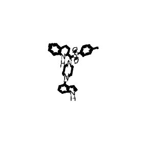 Cc1ccc(S(=O)(=O)C(C2CCc3ccccc3N2)N2CCN(c3cccc4[nH]ccc34)CC2)cc1